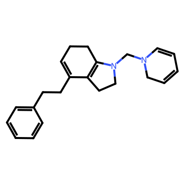 C1=CCN(CN2CCC3=C2CCC=C3CCc2ccccc2)C=C1